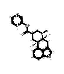 CN1CC(C(=O)Nc2cnccn2)C[C@@H]2c3cccc4[nH]cc(c34)C[C@H]21